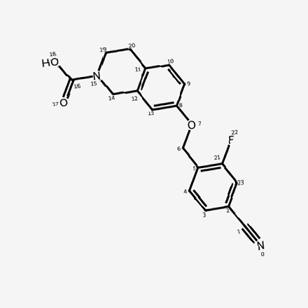 N#Cc1ccc(COc2ccc3c(c2)CN(C(=O)O)CC3)c(F)c1